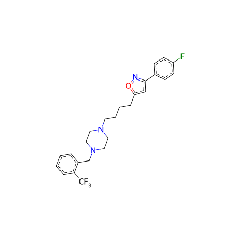 Fc1ccc(-c2cc(CCCCN3CCN(Cc4ccccc4C(F)(F)F)CC3)on2)cc1